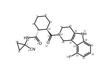 N#CC1(NC(=O)[C@@H]2CCCC[C@H]2C(=O)N2CCc3[nH]c4cccc(F)c4c3C2)CC1